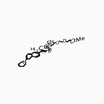 COCCOCCOCCN(C#N)S(=O)(=O)/C=C(\C)c1ccc2cc(N3CCCCC3)ccc2c1